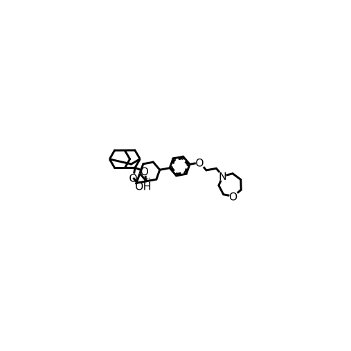 OOC1(O[C@]23CC(c4ccc(OCCN5CCCOCC5)cc4)CCC2C3)C2CC3CC(C2)CC1C3